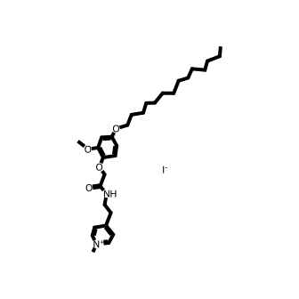 CCCCCCCCCCCCCCOc1ccc(OCC(=O)NCCc2cc[n+](C)cc2)c(OC)c1.[I-]